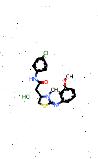 COc1cccc(N=C2SCC(CC(=O)Nc3ccc(Cl)cc3)N2C)c1.Cl